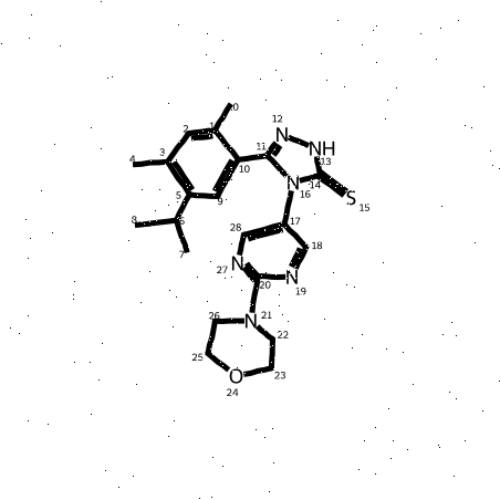 Cc1cc(C)c(C(C)C)cc1-c1n[nH]c(=S)n1-c1cnc(N2CCOCC2)nc1